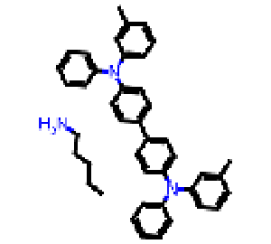 CCCCCN.Cc1cccc(N(c2ccccc2)c2ccc(-c3ccc(N(c4ccccc4)c4cccc(C)c4)cc3)cc2)c1